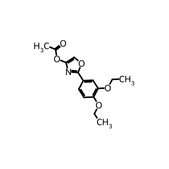 CCOc1ccc(-c2nc(OC(C)=O)co2)cc1OCC